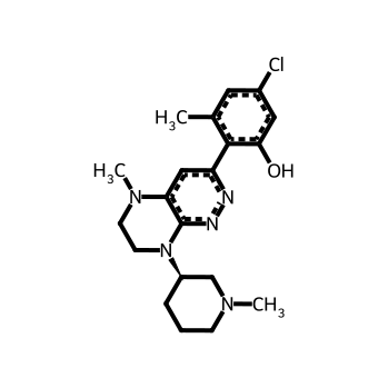 Cc1cc(Cl)cc(O)c1-c1cc2c(nn1)N([C@@H]1CCCN(C)C1)CCN2C